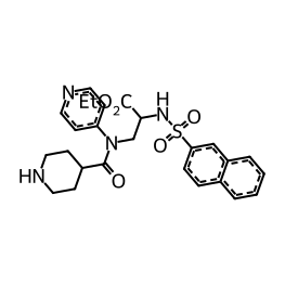 CCOC(=O)C(CN(C(=O)C1CCNCC1)c1ccncc1)NS(=O)(=O)c1ccc2ccccc2c1